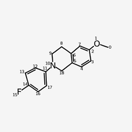 COc1ccc2c(c1)CCN(c1ccc(F)cc1)C2